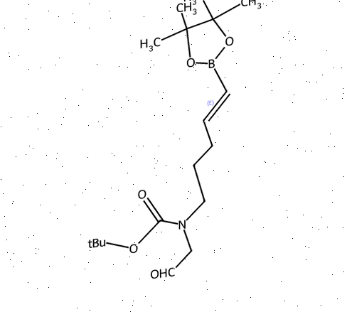 CC(C)(C)OC(=O)N(CC=O)CCC/C=C/B1OC(C)(C)C(C)(C)O1